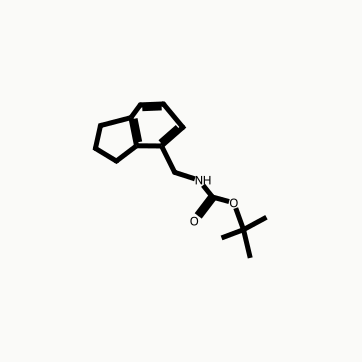 CC(C)(C)OC(=O)NCc1cccc2c1CCC2